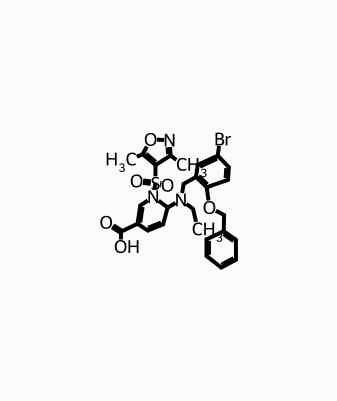 CCN(Cc1cc(Br)ccc1OCc1ccccc1)C1C=CC(C(=O)O)=CN1S(=O)(=O)c1c(C)noc1C